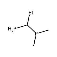 CCC(P)P(C)C